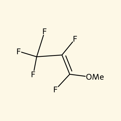 COC(F)=C(F)C(F)(F)F